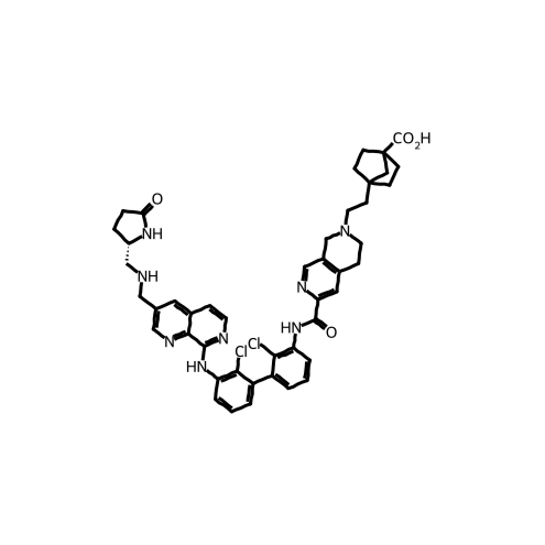 O=C1CC[C@@H](CNCc2cnc3c(Nc4cccc(-c5cccc(NC(=O)c6cc7c(cn6)CN(CCC68CCC(C(=O)O)(CC6)C8)CC7)c5Cl)c4Cl)nccc3c2)N1